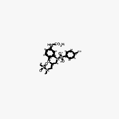 CN(CC1CN(S(=O)(=O)c2ccc(F)cc2)c2cc(NC(=O)O)ccc2O1)S(C)(=O)=O